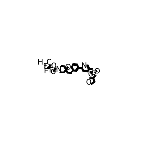 CC(OC(=O)N1CCC2(CCc3cc(-c4ccc(CS(=O)(=O)CC5CCOC5)cn4)ccc3O2)CC1)C(F)(F)F